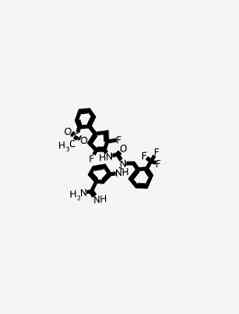 CS(=O)(=O)c1ccccc1-c1cc(F)c(NC(=O)N(Cc2ccccc2C(F)(F)F)Nc2cccc(C(=N)N)c2)c(F)c1